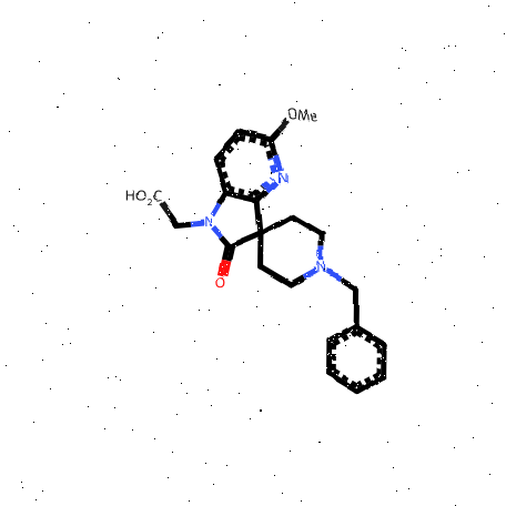 COc1ccc2c(n1)C1(CCN(Cc3ccccc3)CC1)C(=O)N2CC(=O)O